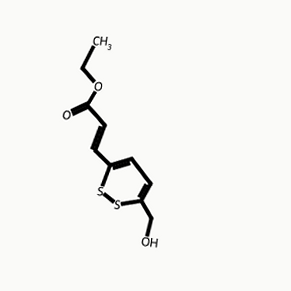 CCOC(=O)C=CC1=CC=C(CO)SS1